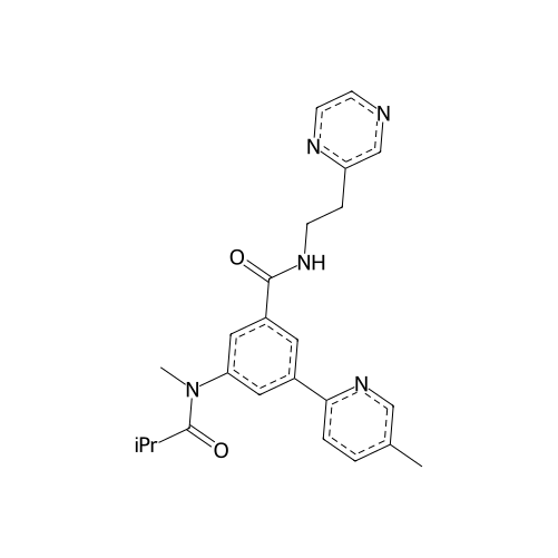 Cc1ccc(-c2cc(C(=O)NCCc3cnccn3)cc(N(C)C(=O)C(C)C)c2)nc1